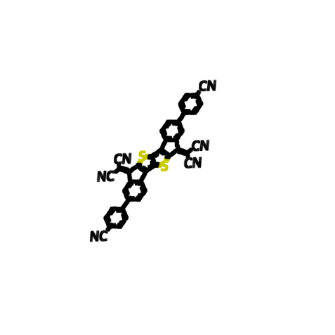 N#CC(C#N)=C1c2cc(-c3ccc(C#N)cc3)ccc2-c2c1sc1c3c(sc21)C(=C(C#N)C#N)c1cc(-c2ccc(C#N)cc2)ccc1-3